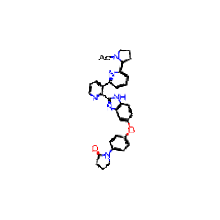 CC(=O)N1CCCC1c1cccc(-c2cccnc2-c2nc3cc(Oc4ccc(N5CCCC5=O)cc4)ccc3[nH]2)n1